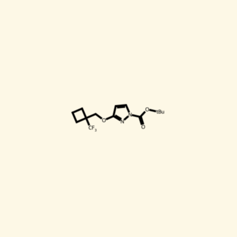 CC(C)(C)OC(=O)n1ccc(OCC2(C(F)(F)F)CCC2)n1